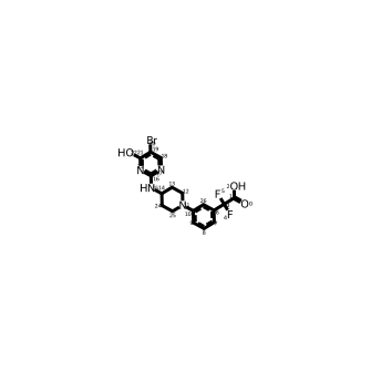 O=C(O)C(F)(F)c1cccc(N2CCC(Nc3ncc(Br)c(O)n3)CC2)c1